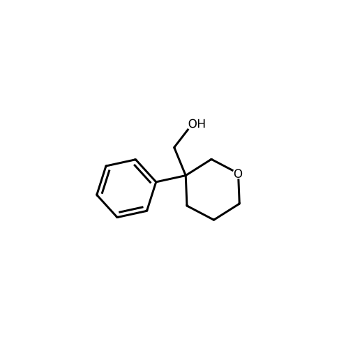 OCC1(c2ccccc2)CCCOC1